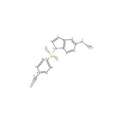 COc1ccc2c(ccn2S(=O)(=O)c2ccc(C#N)cc2)c1